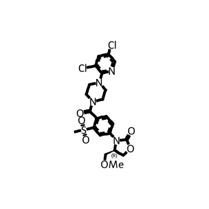 COC[C@@H]1COC(=O)N1c1ccc(C(=O)N2CCN(c3ncc(Cl)cc3Cl)CC2)c(S(C)(=O)=O)c1